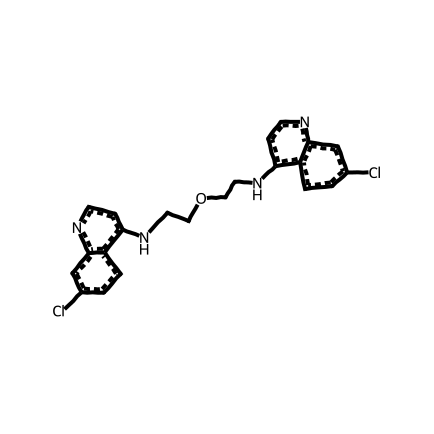 Clc1ccc2c(NCCOCCNc3ccnc4cc(Cl)ccc34)ccnc2c1